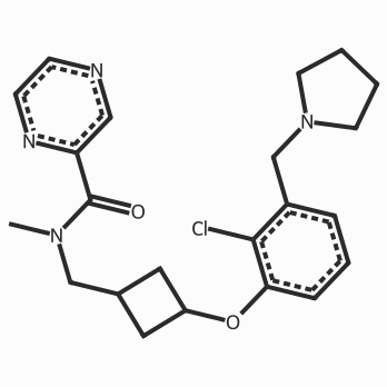 CN(CC1CC(Oc2cccc(CN3CCCC3)c2Cl)C1)C(=O)c1cnccn1